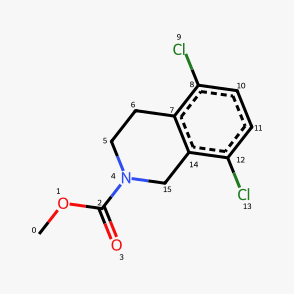 COC(=O)N1CCc2c(Cl)ccc(Cl)c2C1